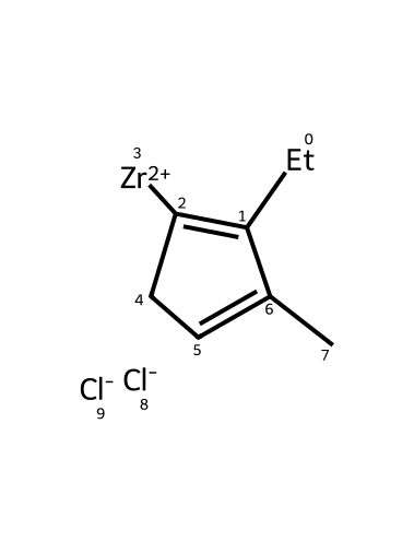 CCC1=[C]([Zr+2])CC=C1C.[Cl-].[Cl-]